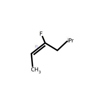 C/C=C(/F)CC(C)C